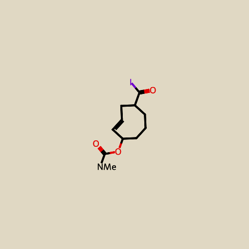 CNC(=O)OC1/C=C/CC(C(=O)I)CCC1